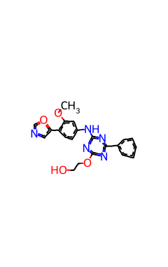 COc1cc(Nc2nc(OCCO)nc(-c3ccccc3)n2)ccc1-c1cnco1